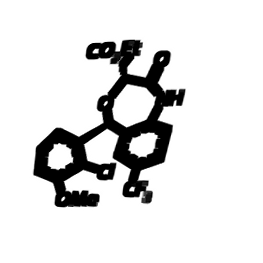 CCOC(=O)C[C@H]1O[C@H](c2cccc(OC)c2Cl)c2cc(C(F)(F)F)ccc2NC1=O